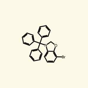 Brc1cccc2c1OCN2C(c1ccccc1)(c1ccccc1)c1ccccc1